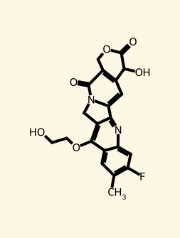 Cc1cc2c(OCCO)c3c(nc2cc1F)-c1cc2c(c(=O)n1C3)COC(=O)C2O